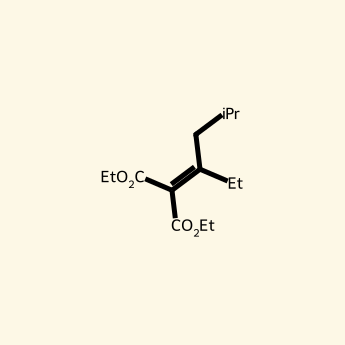 CCOC(=O)C(C(=O)OCC)=C(CC)CC(C)C